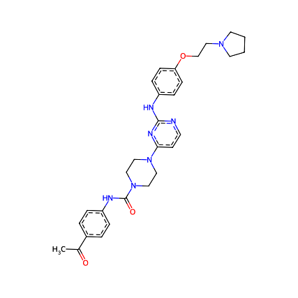 CC(=O)c1ccc(NC(=O)N2CCN(c3ccnc(Nc4ccc(OCCN5CCCC5)cc4)n3)CC2)cc1